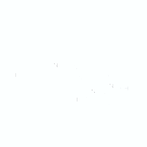 CC1c2ccccc2N2c3sc(C=C4C(=O)N(C)C(=O)N(C)C4=O)cc3Cc3cccc1c32